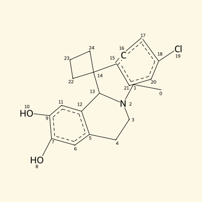 CCN1CCc2cc(O)c(O)cc2C1C1(c2ccc(Cl)cc2)CCC1